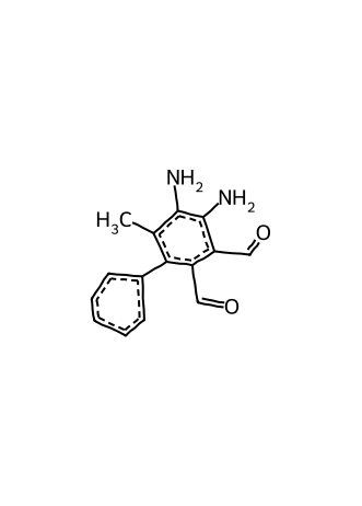 Cc1c(N)c(N)c(C=O)c(C=O)c1-c1ccccc1